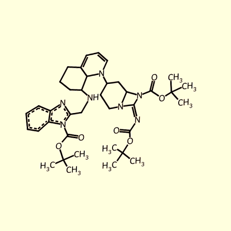 CC(C)(C)OC(=O)N=C1N2CCC(N3C=CC=C4CCCC(NCc5nc6ccccc6n5C(=O)OC(C)(C)C)C43)CC2N1C(=O)OC(C)(C)C